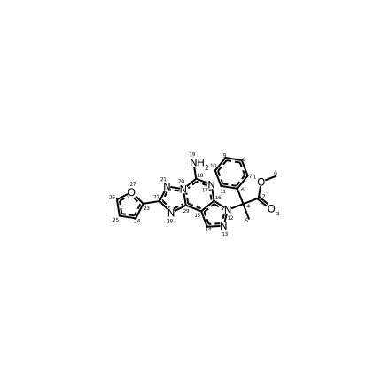 COC(=O)C(C)(c1ccccc1)n1ncc2c1nc(N)n1nc(-c3ccco3)nc21